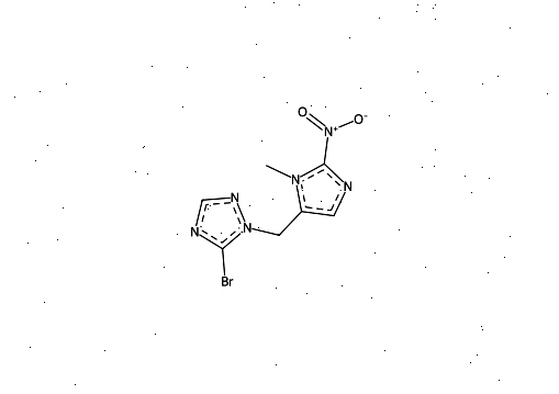 Cn1c(Cn2ncnc2Br)cnc1[N+](=O)[O-]